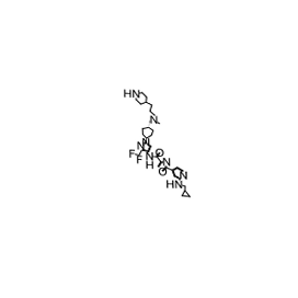 CN(CCCC1CCNCC1)C[C@H]1CC[C@H](n2cc(NC(=O)c3coc(-c4ccnc(NCC5CC5)c4)n3)c(C(F)F)n2)CC1